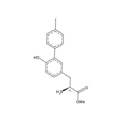 COC(=O)[C@@H](N)Cc1ccc(O)c(-c2ccc(I)cc2)c1